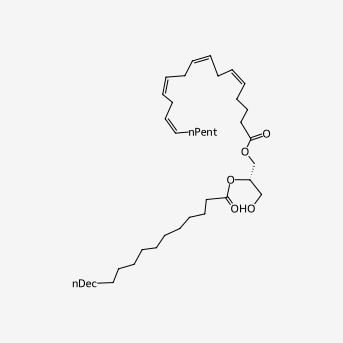 CCCCC/C=C\C/C=C\C/C=C\C/C=C\CCCC(=O)OC[C@H](CO)OC(=O)CCCCCCCCCCCCCCCCCCCC